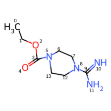 CCOC(=O)N1CCN(C(=N)N)CC1